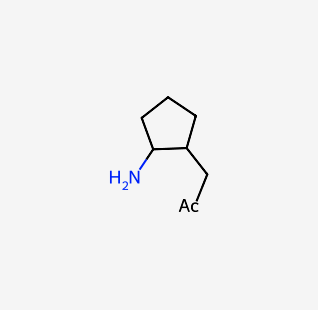 CC(=O)CC1CCCC1N